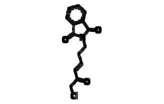 O=C(/C=C/CCN1C(=O)c2ccccc2C1=O)CCl